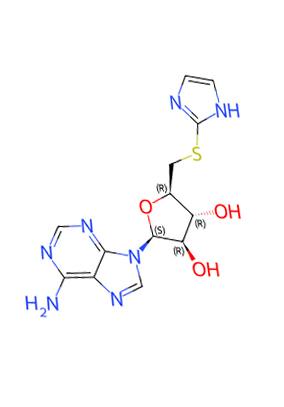 Nc1ncnc2c1ncn2[C@H]1O[C@@H](CSc2ncc[nH]2)[C@H](O)[C@H]1O